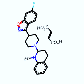 CCN1c2ccccc2CCC1N1CCC(c2noc3cc(F)ccc23)CC1.O=C(O)C=CC(=O)O